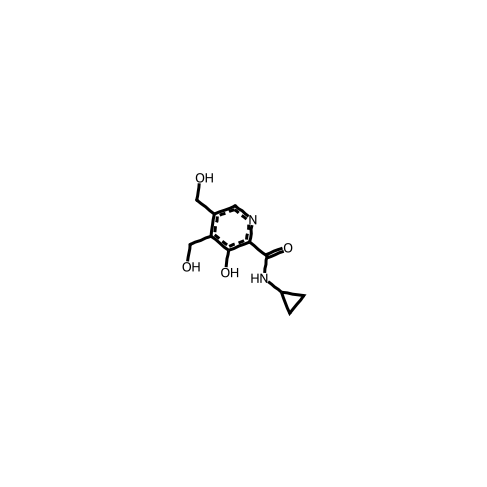 O=C(NC1CC1)c1ncc(CO)c(CO)c1O